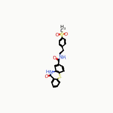 CS(=O)(=O)c1ccc(CCNC(=O)c2ccc3c(c2)NC(=O)c2ccccc2S3)cc1